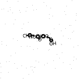 O=c1cc(OCc2ccc(Cl)cn2)ccn1-c1ccc(OCCN2CC[C@H](O)C2)cc1